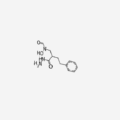 NNC(=O)C(CCc1ccccc1)CN(O)C=O